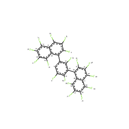 Fc1[c]c(-c2c(F)c(F)c(F)c3c(F)c(F)c(F)c(F)c23)c(F)c(-c2c(F)c(F)c(F)c3c(F)c(F)c(F)c(F)c23)c1F